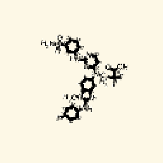 CN(c1ccc2c(c1)nc(Nc1ccc(F)cc1)n2C)c1ccnc(Nc2cccc(S(N)(=O)=O)c2)n1.O=C(O)C(F)(F)F